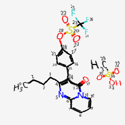 CCCCc1nc2ccccn2c(=O)c1-c1ccc(OS(=O)(=O)C(F)(F)F)cc1.CS(=O)(=O)O